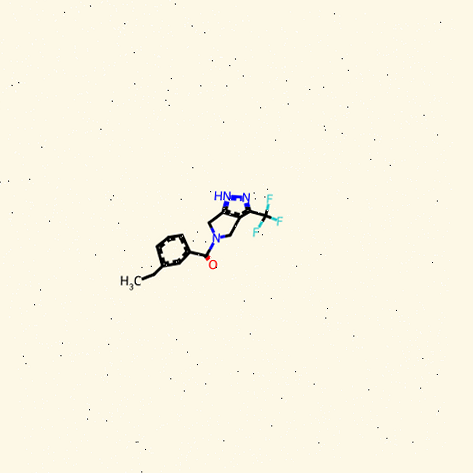 CCc1cccc(C(=O)N2Cc3[nH]nc(C(F)(F)F)c3C2)c1